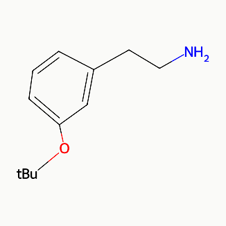 CC(C)(C)Oc1cccc(CCN)c1